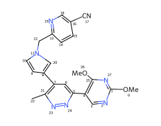 COc1ncc(-c2cc(-c3ccn(Cc4ccc(C#N)cn4)c3)c(C)nn2)c(OC)n1